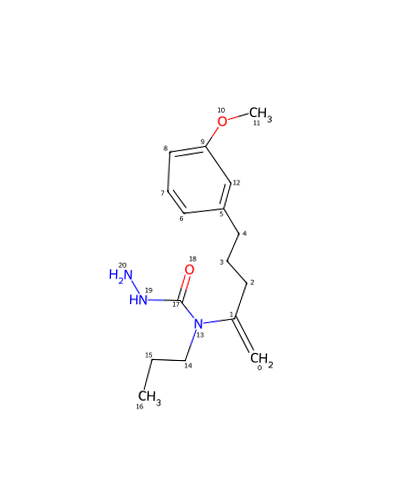 C=C(CCCc1cccc(OC)c1)N(CCC)C(=O)NN